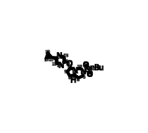 CCCCS(=O)(=O)N1CC[C@@H]2CC[C@H](Oc3cnc(C4CC4)cn3)N2C1